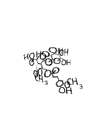 COC(=O)C[C@@H]1C(C(=O)O)=CO[C@@H](O[C@@H]2O[C@H](CO)[C@@H](O)[C@H](O)[C@H]2O)/C1=C\COC(=O)/C=C/c1ccc(O)c(OC)c1